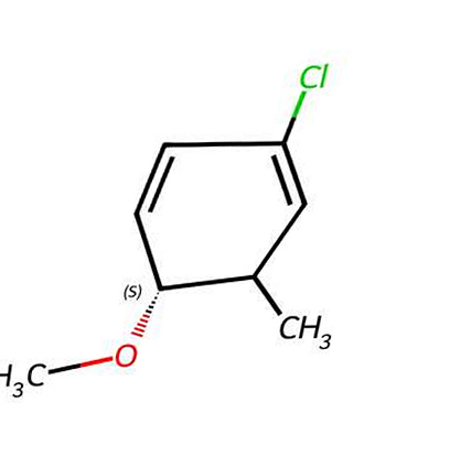 CO[C@@H]1C=CC(Cl)=CC1C